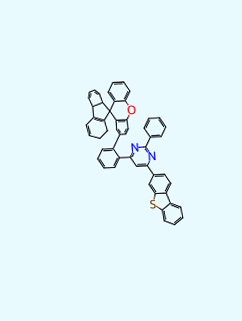 C1=CC2C3=C(CCC=C3)C3(c4ccccc4Oc4ccc(-c5ccccc5-c5cc(-c6ccc7c(c6)sc6ccccc67)nc(-c6ccccc6)n5)cc43)C2C=C1